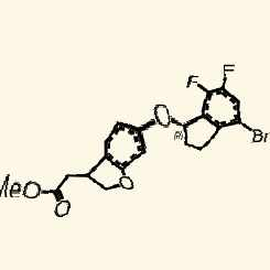 COC(=O)CC1COc2cc(O[C@@H]3CCc4c(Br)cc(F)c(F)c43)ccc21